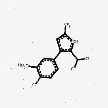 O=C(O)c1cc(-c2cc(C(F)(F)F)[nH]c2C(Cl)Cl)ccc1Cl